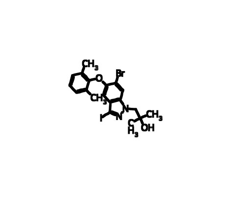 Cc1cccc(C)c1Oc1cc2c(I)nn(CC(C)(C)O)c2cc1Br